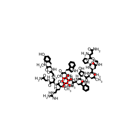 CCCC[C@@H](C(=O)N(C)[C@@H](C)C(=O)N[C@@H](CCCNC(=N)N)C(=O)NC(CSCC(=O)N[C@@H](Cc1ccc(O)cc1)C(=O)NC)C(=O)NCC(N)=O)N(C)C(=O)[C@H](Cc1c[nH]c2ccccc12)NC(=O)[C@H](CO)NC(=O)[C@H](Cc1c[nH]c2ccccc12)NC(=O)[C@@H]1C[C@@H](O)CN1C(=O)[C@H](CC(C)C)NC(=O)[C@H](Cc1cnc[nH]1)NC(=O)[C@@H]1CCCN1C(=O)[C@@H](N)CC(N)=O